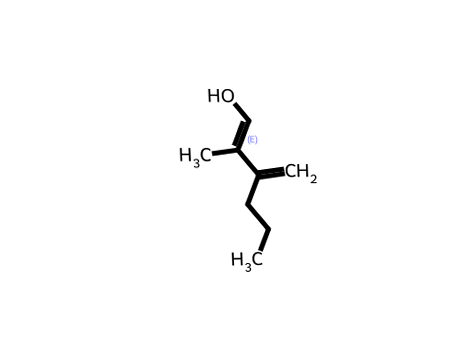 C=C(CCC)/C(C)=C/O